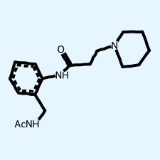 CC(=O)NCc1ccccc1NC(=O)CCN1CCCCC1